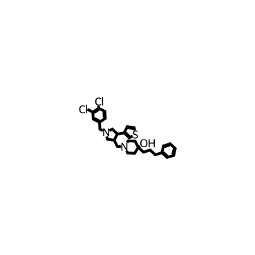 OC1(CCCc2ccccc2)CCN(CC2CN(Cc3ccc(Cl)c(Cl)c3)CC2c2ccsc2)CC1